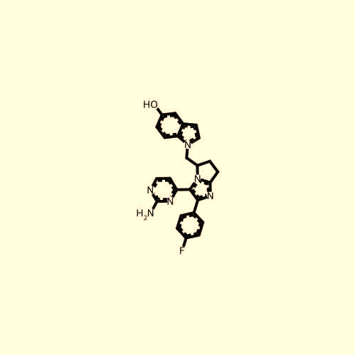 Nc1nccc(-c2c(-c3ccc(F)cc3)nc3n2C(Cn2ccc4cc(O)ccc42)CC3)n1